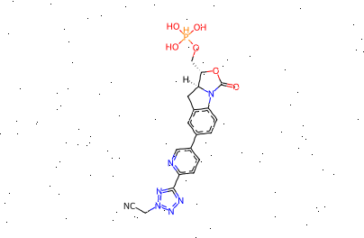 N#CCn1nnc(-c2ccc(-c3ccc4c(c3)C[C@H]3[C@H](CO[PH](O)(O)O)OC(=O)N43)cn2)n1